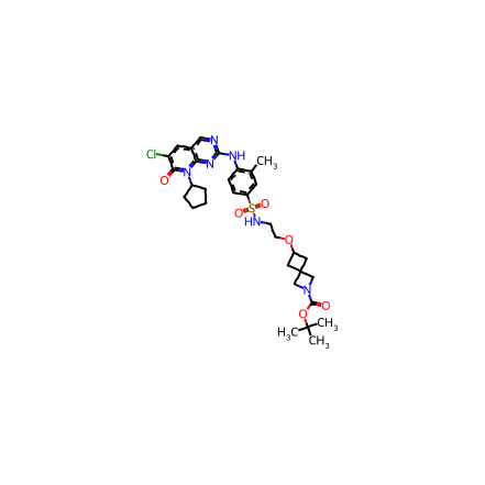 Cc1cc(S(=O)(=O)NCCOC2CC3(C2)CN(C(=O)OC(C)(C)C)C3)ccc1Nc1ncc2cc(Cl)c(=O)n(C3CCCC3)c2n1